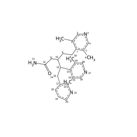 Cc1cncc(C)c1CC[C](CC(N)=O)C(Cc1cccnc1)c1c(C)cncc1C